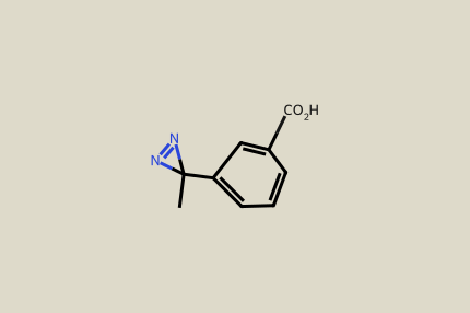 CC1(c2cccc(C(=O)O)c2)N=N1